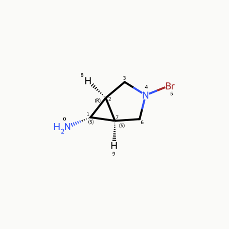 N[C@@H]1[C@H]2CN(Br)C[C@@H]12